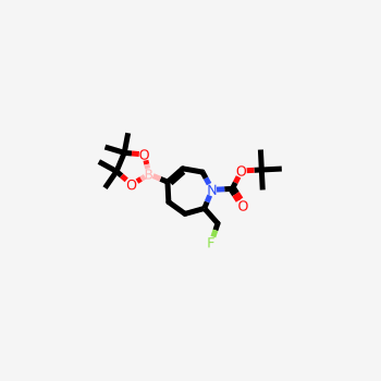 CC(C)(C)OC(=O)N1CC=C(B2OC(C)(C)C(C)(C)O2)CCC1CF